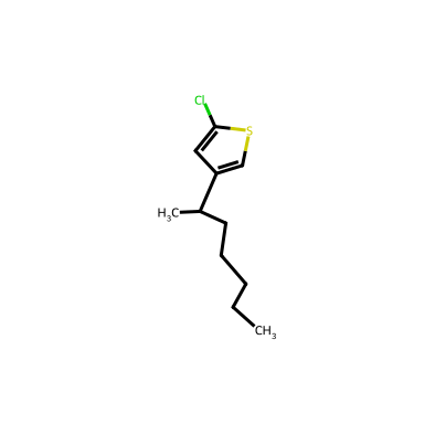 CCCCCC(C)c1csc(Cl)c1